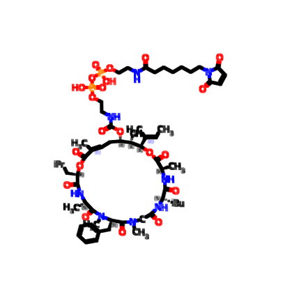 C/C=C(\C)[C@H]1OC(=O)[C@@H](C)NC(=O)[C@H](C(C)CC)NC(=O)CN(C)C(=O)[C@@H](Cc2ccccc2)N(C)C(=O)[C@H](C)NC(=O)[C@@H](CC(C)C)OC(=O)/C(C)=C/C[C@H](OC(=O)NCCOP(=O)(O)OP(=O)(O)OCCNC(=O)CCCCCCN2C(=O)C=CC2=O)[C@@H]1C